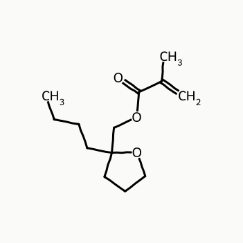 C=C(C)C(=O)OCC1(CCCC)CCCO1